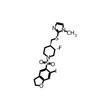 Cn1ccnc1SC[C@@H]1CCN(S(=O)(=O)c2cc3c(cc2I)OCC3)C[C@H]1F